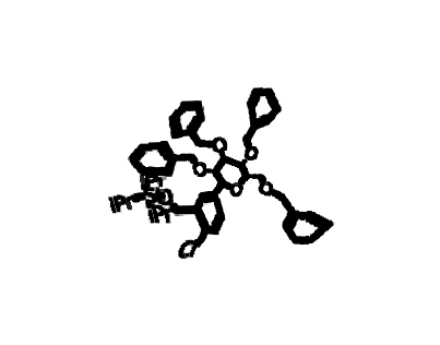 CC(C)[Si](OCc1cc(C2O[C@H](COCc3ccccc3)[C@@H](OCc3ccccc3)[C@H](OCc3ccccc3)[C@H]2OCc2ccccc2)ccc1Cl)(C(C)C)C(C)C